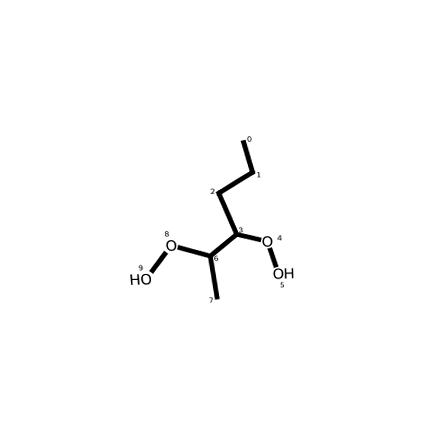 CCCC(OO)C(C)OO